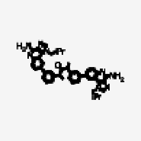 CC(C)Cn1cnc2c(N)nc3ccc(-c4cccc(C(C)C(=O)C(C)c5cccc(-c6ccc7nc(N)c8ncn(CC(C)C)c8c7c6)c5)c4)cc3c21